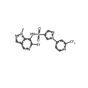 CCc1ncc2cnn(C)c2c1NS(=O)(=O)c1cnn(-c2ccnc(C(F)(F)F)c2)c1